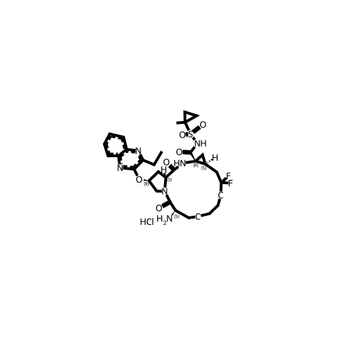 CCc1nc2ccccc2nc1O[C@@H]1C[C@H]2C(=O)N[C@]3(C(=O)NS(=O)(=O)C4(C)CC4)C[C@H]3CC(F)(F)CCCCC[C@H](N)C(=O)N2C1.Cl